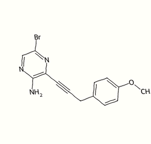 COc1ccc(CC#Cc2nc(Br)cnc2N)cc1